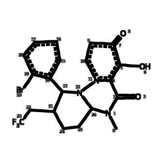 CN1C(=O)c2c(O)c(=O)ccn2N2C(c3ccccc3Br)C(CC(F)(F)F)CCC12